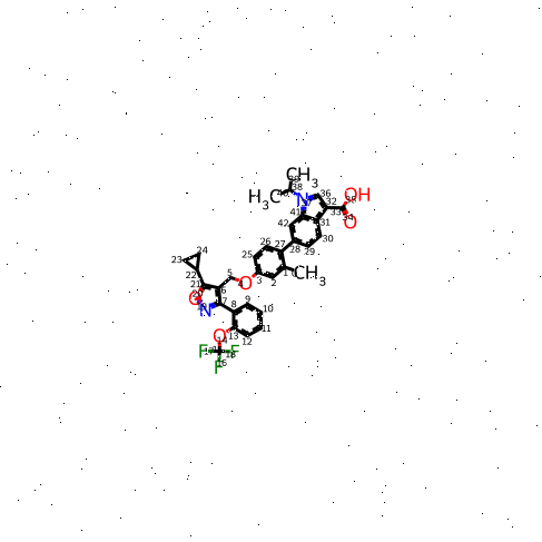 Cc1cc(OCc2c(-c3ccccc3OC(F)(F)F)noc2C2CC2)ccc1-c1ccc2c(C(=O)O)cn(C(C)C)c2c1